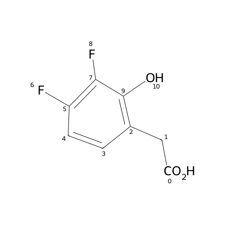 O=C(O)Cc1ccc(F)c(F)c1O